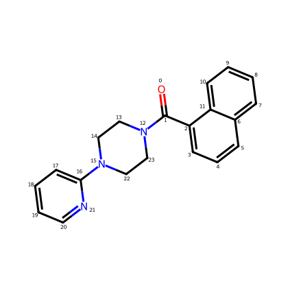 O=C(c1cccc2ccccc12)N1CCN(c2ccccn2)CC1